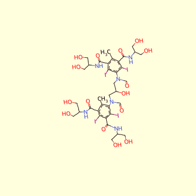 Cc1c(C(=O)NC(CO)CO)c(I)c(N(C=O)CC(O)CN(C=O)c2c(C)c(C(=O)NC(CO)CO)c(I)c(C(=O)NC(CO)CO)c2I)c(I)c1C(=O)NC(CO)CO